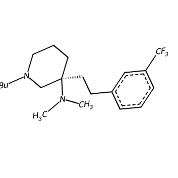 CN(C)[C@]1(CCc2cccc(C(F)(F)F)c2)CCCN(C(C)(C)C)C1